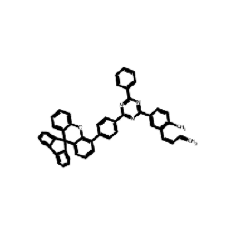 C=C/C=C\c1cc(-c2nc(-c3ccccc3)nc(-c3ccc(-c4cccc5c4Oc4ccccc4C54c5ccccc5-c5ccccc54)cc3)n2)ccc1C